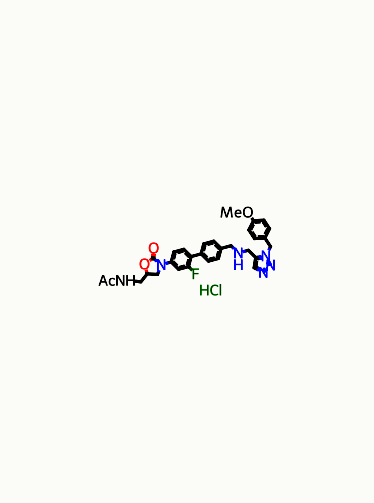 COc1ccc(Cn2nncc2CNCc2ccc(-c3ccc(N4CC(CNC(C)=O)OC4=O)cc3F)cc2)cc1.Cl